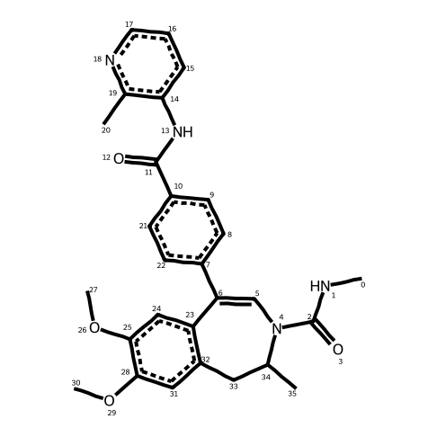 CNC(=O)N1C=C(c2ccc(C(=O)Nc3cccnc3C)cc2)c2cc(OC)c(OC)cc2CC1C